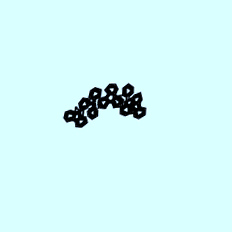 c1ccc([Si](c2ccccc2)(c2cccc(-n3c4ccccc4c4ccccc43)c2)c2ccc3c4ccc([Si](c5ccccc5)(c5ccccc5)c5cccc6c5sc5ccccc56)cc4c4ccccc4c3c2)cc1